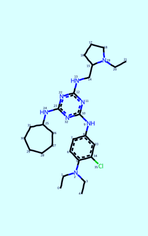 CCN(CC)c1ccc(Nc2nc(NCC3CCCN3CC)nc(NC3CCCCCC3)n2)cc1Cl